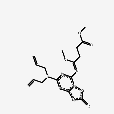 C=CCN(CC=C)c1nc(N=C(CCC(=O)OC)OC)n2oc(=O)nc2n1